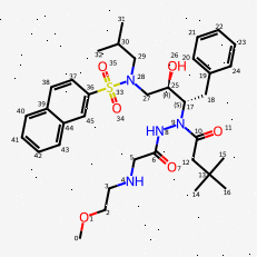 COCCNCC(=O)NN(C(=O)CC(C)(C)C)[C@@H](Cc1ccccc1)[C@H](O)CN(CC(C)C)S(=O)(=O)c1ccc2ccccc2c1